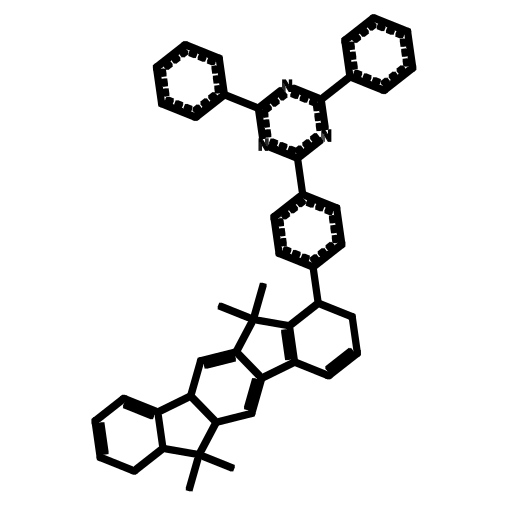 CC1(C)C2=CC3C4=CC=CCC4C(C)(C)C3C=C2C2=C1C(c1ccc(-c3nc(-c4ccccc4)nc(-c4ccccc4)n3)cc1)CC=C2